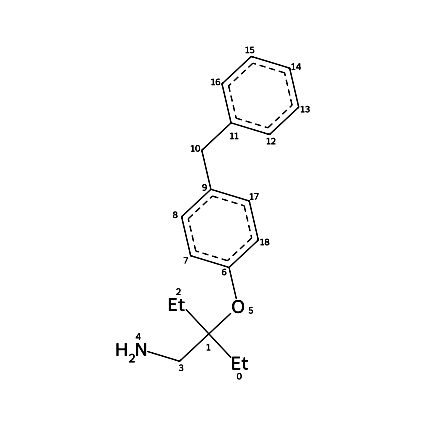 CCC(CC)(CN)Oc1ccc(Cc2ccccc2)cc1